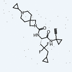 C#CC1(NC(=O)[C@H](CC(F)(F)CC2CC2)NC(=O)N2CC3(CCN(C4CC4)CC3)C2)CC1